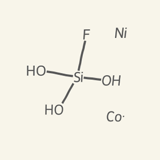 O[Si](O)(O)F.[Co].[Ni]